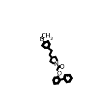 COc1ccc(CCC2CCN(C(=O)COc3ccccc3-c3ccccc3)CC2)cc1